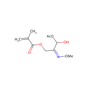 C=C(C)C(=O)OCC(=NOC)C(O)OC(C)=O